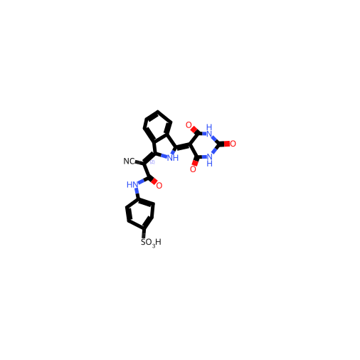 N#C/C(C(=O)Nc1ccc(S(=O)(=O)O)cc1)=c1/[nH]c(=C2C(=O)NC(=O)NC2=O)c2ccccc12